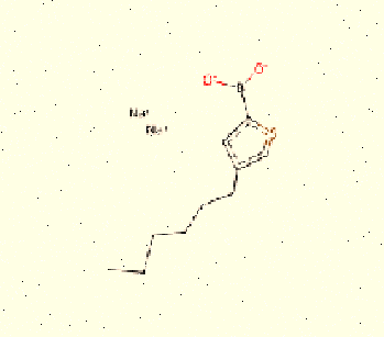 CCCCCCc1csc(B([O-])[O-])c1.[Na+].[Na+]